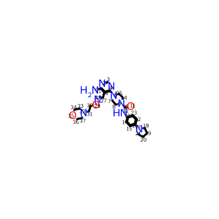 Nc1ncnc(N2CCN(C(=O)Nc3ccc(N4CCCC4)cc3)CC2)c1/C=N/OCCN1CCOCC1